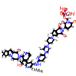 COc1ncc(-c2ccnc(N3CCn4c(cc5c4CC(C)(C)C5)C3=O)c2C(C)(C)O)cc1Nc1ccc(N2CCN(C3CCN(c4ccc5c(c4)C(=O)N([C@H]4CCC(=O)N(COP(=O)(O)O)C4=O)C5=O)[C@@H](C)C3)C[C@@H]2C)cn1